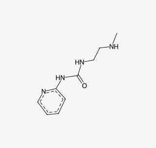 CNCCNC(=O)Nc1ccccn1